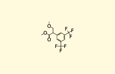 COCC(C(=O)OC)c1cc(C(F)(F)F)cc(C(F)(F)F)c1